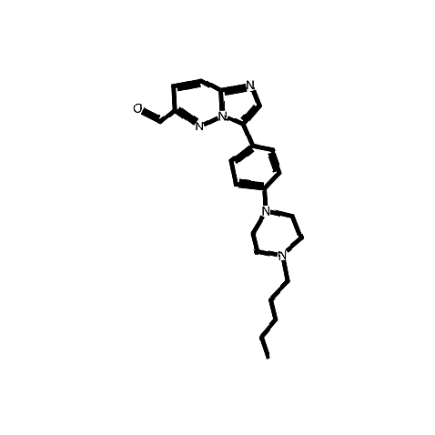 CCCCCN1CCN(c2ccc(-c3cnc4ccc(C=O)nn34)cc2)CC1